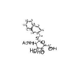 CC(=O)NC1C(SCc2ccc3ccccc3c2)OC(CO)C(O)C1O